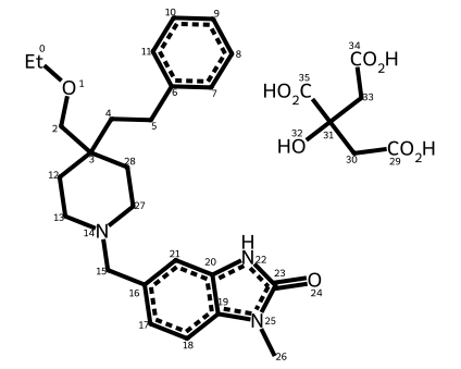 CCOCC1(CCc2ccccc2)CCN(Cc2ccc3c(c2)[nH]c(=O)n3C)CC1.O=C(O)CC(O)(CC(=O)O)C(=O)O